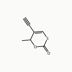 C#CC1=CSC(=O)OC1C